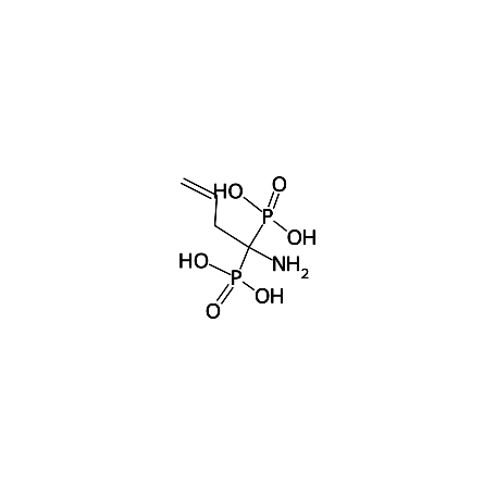 C=CCC(N)(P(=O)(O)O)P(=O)(O)O